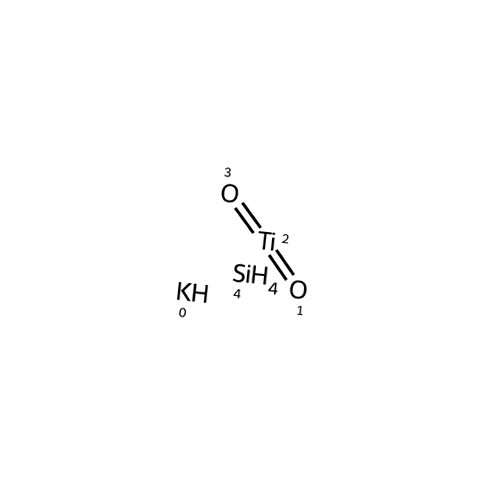 [KH].[O]=[Ti]=[O].[SiH4]